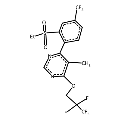 CCS(=O)(=O)c1cc(C(F)(F)F)ccc1-c1ncnc(OCC(F)(F)C(F)(F)F)c1C